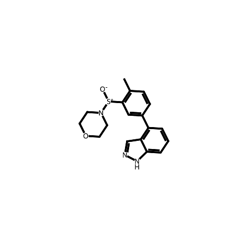 Cc1ccc(-c2cccc3[nH]ncc23)cc1[S+]([O-])N1CCOCC1